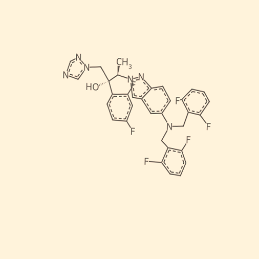 C[C@@H](n1cc2cc(N(Cc3c(F)cccc3F)Cc3c(F)cccc3F)ccc2n1)[C@](O)(Cn1cncn1)c1ccc(F)cc1F